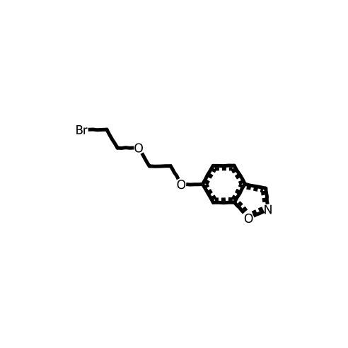 BrCCOCCOc1ccc2cnoc2c1